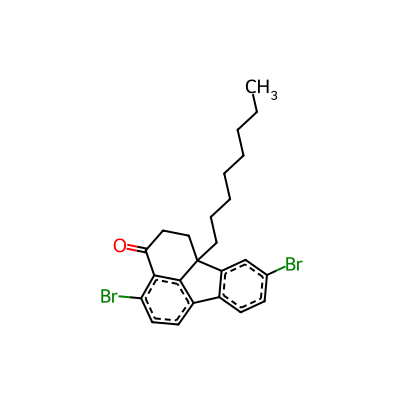 CCCCCCCCC12CCC(=O)c3c(Br)ccc(c31)-c1ccc(Br)cc12